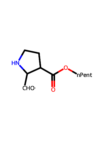 CCCCCOC(=O)C1CCNC1[C]=O